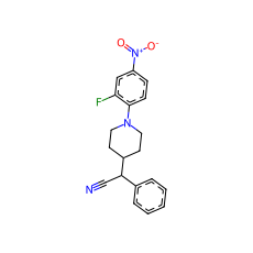 N#CC(c1ccccc1)C1CCN(c2ccc([N+](=O)[O-])cc2F)CC1